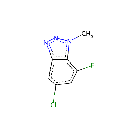 Cn1nnc2cc(Cl)cc(F)c21